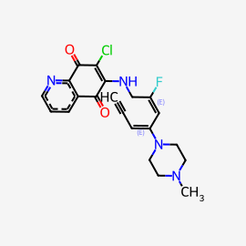 C#C/C=C(\C=C(\F)CNC1=C(Cl)C(=O)c2ncccc2C1=O)N1CCN(C)CC1